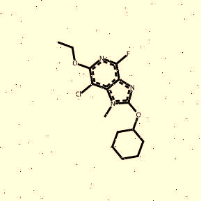 CCOc1nc(F)c2nc(OC3CCCCC3)n(C)c2c1Cl